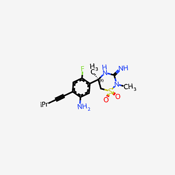 CC(C)C#Cc1cc(F)c([C@]2(C)CS(=O)(=O)N(C)C(=N)N2)cc1N